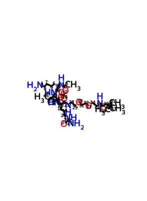 CC(=O)N[C@@H](CCCCN)C(=O)N[C@H](C(=O)N[C@@H](CCCNC(N)=O)C(=O)NCCOCCOCCNC(=O)CC(C)(C)C)C(C)C